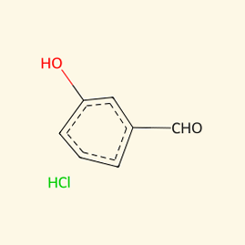 Cl.O=Cc1cccc(O)c1